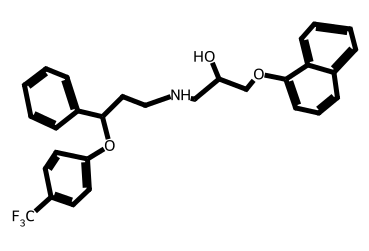 OC(CNCCC(Oc1ccc(C(F)(F)F)cc1)c1ccccc1)COc1cccc2ccccc12